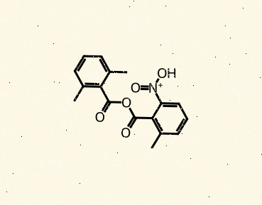 Cc1cccc(C)c1C(=O)OC(=O)c1c(C)cccc1[N+](=O)O